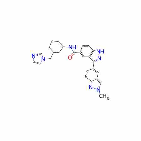 Cn1cc2cc(-c3n[nH]c4ccc(C(=O)NC5CCCC(Cn6ccnc6)C5)cc34)ccc2n1